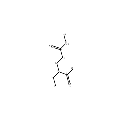 CCC(CCC(=O)OC)C(C)=O